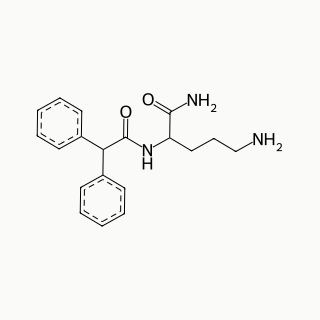 NCCCC(NC(=O)C(c1ccccc1)c1ccccc1)C(N)=O